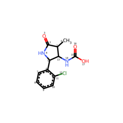 CC1C(=O)NC(c2ccccc2Cl)C1NC(=O)O